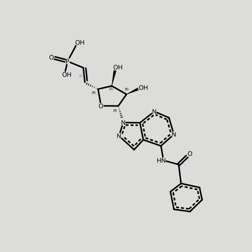 O=C(Nc1ncnc2c1cnn2[C@@H]1O[C@H](/C=C/P(=O)(O)O)[C@@H](O)[C@H]1O)c1ccccc1